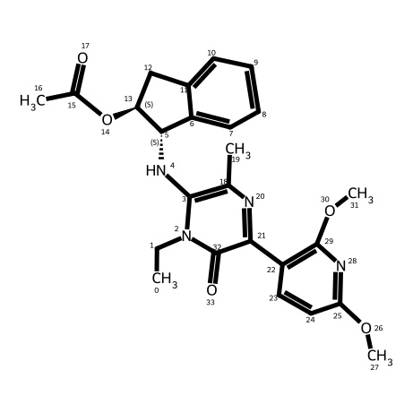 CCn1c(N[C@H]2c3ccccc3C[C@@H]2OC(C)=O)c(C)nc(-c2ccc(OC)nc2OC)c1=O